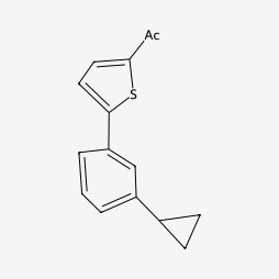 CC(=O)c1ccc(-c2cccc(C3CC3)c2)s1